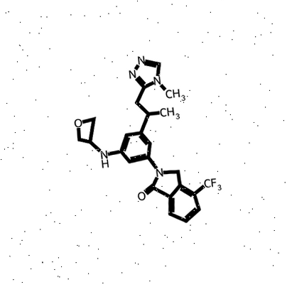 CC(Cc1nncn1C)c1cc(NC2COC2)cc(N2Cc3c(cccc3C(F)(F)F)C2=O)c1